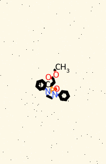 CCOC(=O)/C=C(\C)P1(=O)N(c2ccccc2)CCN1c1ccccc1